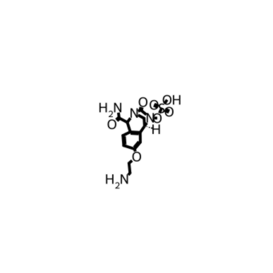 NCCOc1ccc2c(c1)[C@H]1CN(C(=O)N1OS(=O)(=O)O)C2C(N)=O